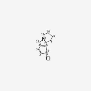 Clc1ccc2c(c1)C1CCCCN1C2